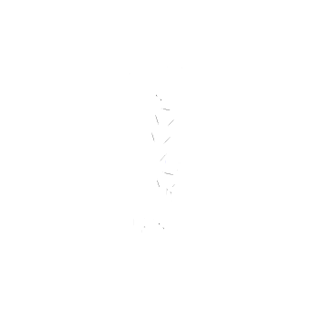 CCCCN(CCCC)c1ccc2cc(/C=C/c3cc[n+](CCC[N+](CC)(CC)CC)cc3F)ccc2c1